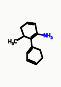 CC1CC=CC(N)=C1C1=CC=CCC1